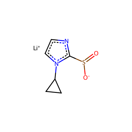 O=S([O-])c1nccn1C1CC1.[Li+]